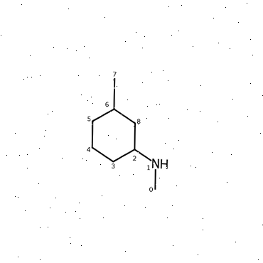 CNC1CCCC(I)C1